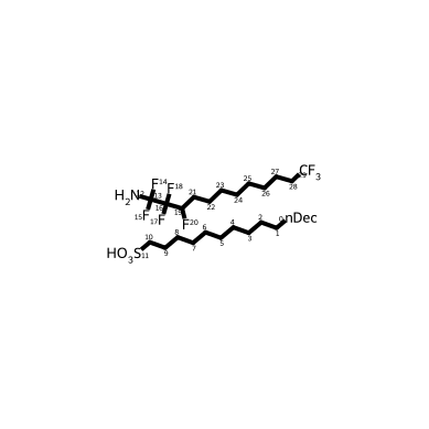 CCCCCCCCCCCCCCCCCCCCS(=O)(=O)O.NC(F)(F)C(F)(F)C(F)CCCCCCCCC(F)(F)F